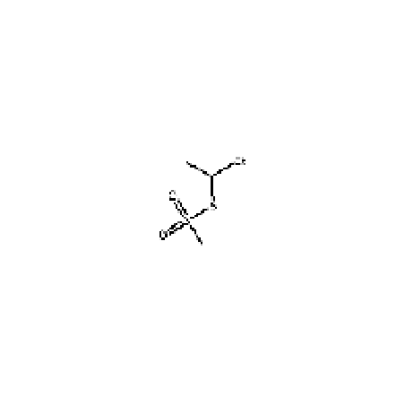 CCC(C)SS(C)(=O)=O